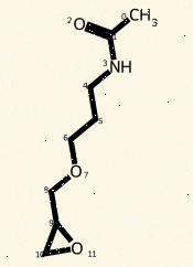 CC(=O)NCCCOCC1CO1